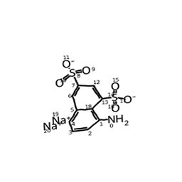 Nc1cccc2cc(S(=O)(=O)[O-])cc(S(=O)(=O)[O-])c12.[Na+].[Na+]